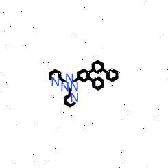 c1ccc(-c2cccc(-c3ccc(-c4nc(-c5ccccn5)nc(-c5ccccn5)n4)cc3-c3ccccc3)c2)cc1